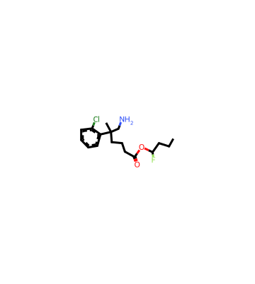 CCCC(F)OC(=O)CCCC(C)(CN)c1ccccc1Cl